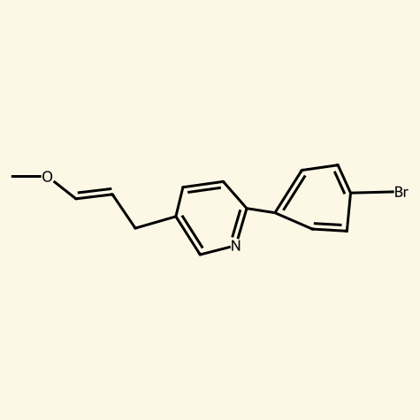 COC=CCc1ccc(-c2ccc(Br)cc2)nc1